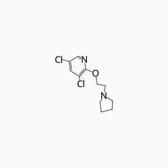 Clc1cnc(OCCN2CCCC2)c(Cl)c1